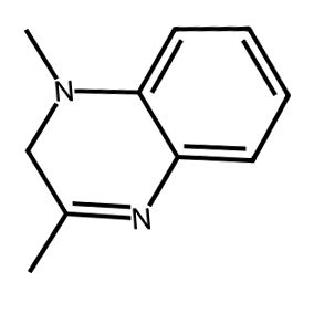 CC1=Nc2ccccc2N(C)C1